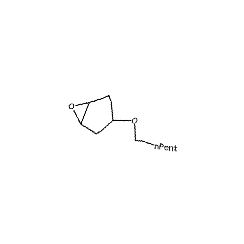 CCCCCCOC1CC2OC2C1